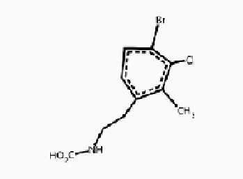 Cc1c(CCNC(=O)O)ccc(Br)c1Cl